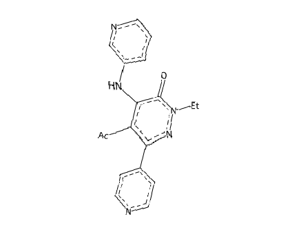 CCn1nc(-c2ccncc2)c(C(C)=O)c(Nc2cccnc2)c1=O